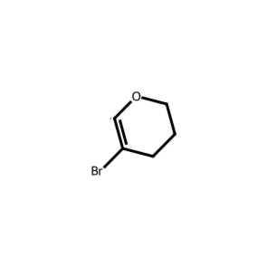 BrC1=[C]OCCC1